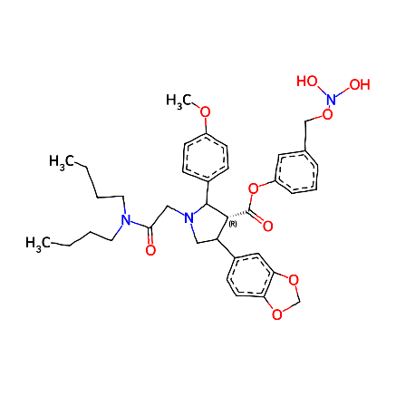 CCCCN(CCCC)C(=O)CN1CC(c2ccc3c(c2)OCO3)[C@@H](C(=O)Oc2cccc(CON(O)O)c2)C1c1ccc(OC)cc1